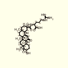 CC1(C)[C@@H](O)CC[C@]2(C)[C@H]3C(=O)C=C4[C@@H]5C[C@@](C)(C(=O)NC(CCCNC(=N)N)C(=O)O)CC[C@]5(C)CC[C@@]4(C)[C@]3(C)CC[C@@H]12